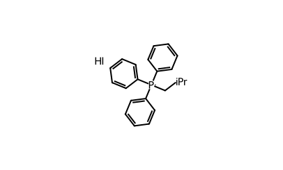 CC(C)C[P](c1ccccc1)(c1ccccc1)c1ccccc1.I